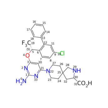 Nc1nc(O[C@@H](c2ccc(Cl)cc2-c2ccccc2)C(F)(F)F)cc(N2CCC3(CC2)CNC(C(=O)O)C3)n1